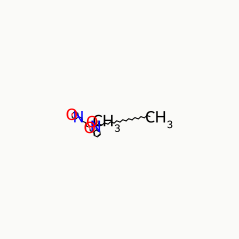 CCCCCCCCCCCCCCCCCC(C)N(C=O)c1ccccc1COCCCCN1CCOCC1